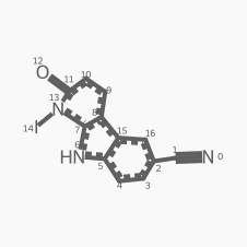 N#Cc1ccc2[nH]c3c(ccc(=O)n3I)c2c1